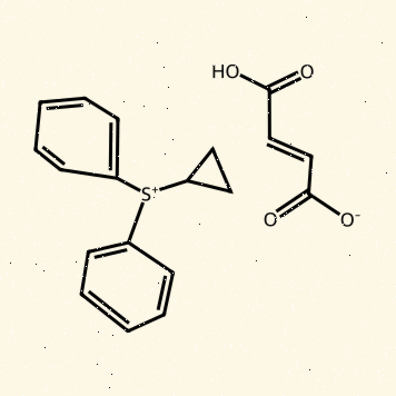 O=C([O-])C=CC(=O)O.c1ccc([S+](c2ccccc2)C2CC2)cc1